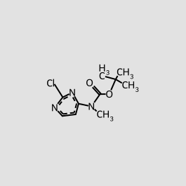 CN(C(=O)OC(C)(C)C)c1ccnc(Cl)n1